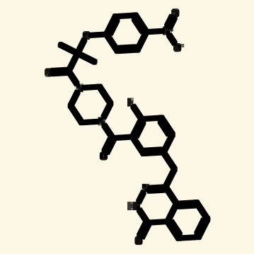 CC(C)(Oc1ccc([N+](=O)[O-])cc1)C(=O)N1CCN(C(=O)c2cc(Cc3n[nH]c(=O)c4ccccc34)ccc2F)CC1